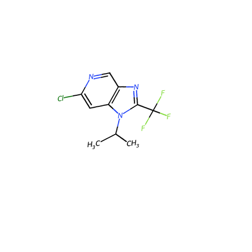 CC(C)n1c(C(F)(F)F)nc2cnc(Cl)cc21